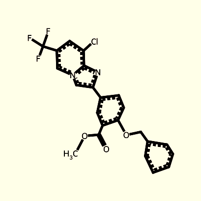 COC(=O)c1cc(-c2cn3cc(C(F)(F)F)cc(Cl)c3n2)ccc1OCc1ccccc1